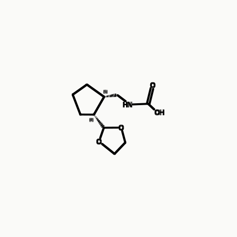 O=C(O)NC[C@H]1CCC[C@H]1C1OCCO1